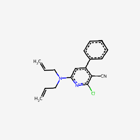 C=CCN(CC=C)c1cc(-c2ccccc2)c(C#N)c(Cl)n1